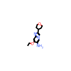 CCOc1cc2nc(C3CCOCC3)cn2cc1N